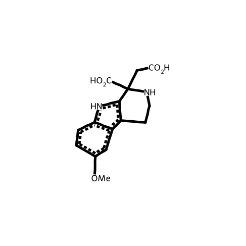 COc1ccc2[nH]c3c(c2c1)CCNC3(CC(=O)O)C(=O)O